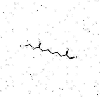 C=CC(=O)CCCCCC(=O)OCC